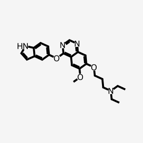 CCN(CC)CCCOc1cc2ncnc(Oc3ccc4[nH]ccc4c3)c2cc1OC